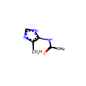 COC(=O)Nc1[nH]cnc1C(=O)O